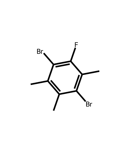 Cc1c(C)c(Br)c(F)c(C)c1Br